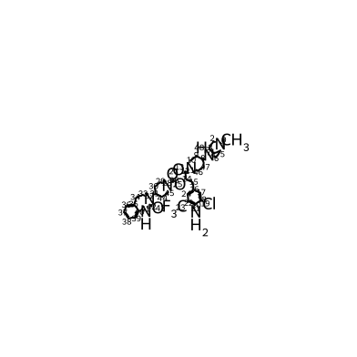 CN1C[C@H]2CC1CN2C1CCN(C(=O)C(Cc2cc(Cl)c(N)c(C(F)(F)F)c2)OC(=O)N2CCC(N3CCc4ccccc4NC3=O)CC2)CC1